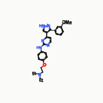 CCN(CC)CCOc1ccc(Nc2nccc(-c3c[nH]nc3-c3cccc(OC)c3)n2)cc1